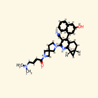 CN(C)C/C=C/C(=O)N1CC2(CCN(c3nc4c(c(-c5cc(O)cc6ccccc56)c3C#N)CC[C@@H]3C[C@H]43)C2)C1